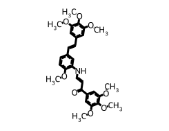 COc1ccc(C=Cc2cc(OC)c(OC)c(OC)c2)cc1NC=CC(=O)c1cc(OC)c(OC)c(OC)c1